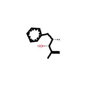 C=C(C)[C@H](O)[C@@H](C)Cc1ccccc1